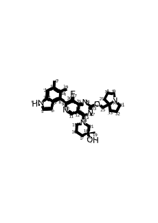 Cc1cc2[nH]ccc2c(-c2ncc3c(N4CCC[C@@](C)(O)C4)nc(OCC45CCCN4CCC5)nc3c2F)c1C